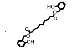 O=C(CCCCCCCCC(=O)OCc1ccccc1O)OCc1ccccc1O